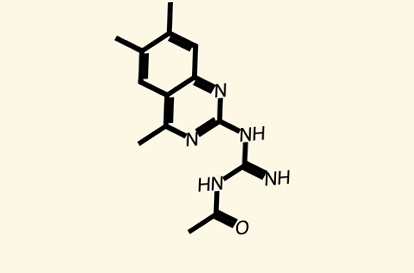 CC(=O)NC(=N)Nc1nc(C)c2cc(C)c(C)cc2n1